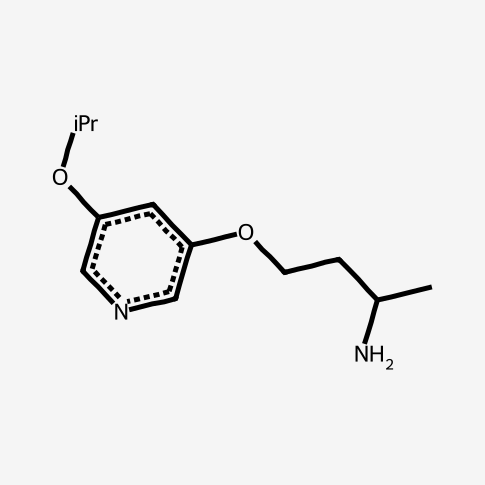 CC(N)CCOc1cncc(OC(C)C)c1